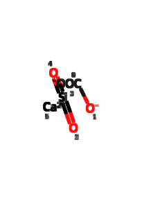 O=C([O-])[O-].O=[Si]=O.[Ca+2]